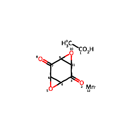 CC(=O)O.O=C1C2OC2C(=O)C2OC12.[Mn]